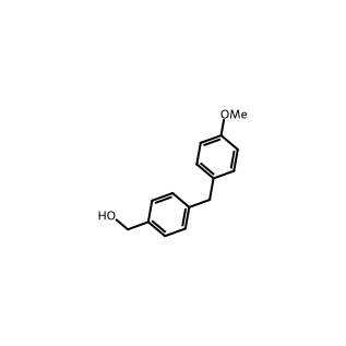 COc1ccc(Cc2ccc(CO)cc2)cc1